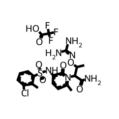 Cc1c(Cl)cccc1S(=O)(=O)Nc1ccc(C)n(C(C(N)=O)C(C)ON=C(N)N)c1=O.O=C(O)C(F)(F)F